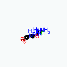 COC(=O)c1ccc(C[N+]23CCC(CC2)C(NC(=O)c2nc(Cl)c(N)nc2N)C3)cc1